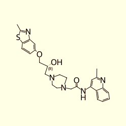 Cc1cc(NC(=O)CN2CCN(C[C@@H](O)COc3ccc4sc(C)nc4c3)CC2)c2ccccc2n1